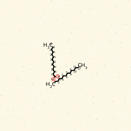 [CH2]C(CCCCCCCCCCCC)OC(=O)CCCCCCCCCCCCC